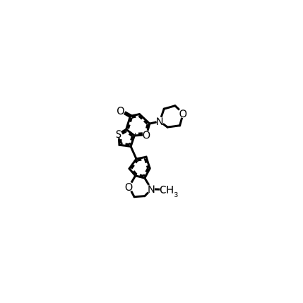 CN1CCOc2cc(-c3csc4c(=O)cc(N5CCOCC5)oc34)ccc21